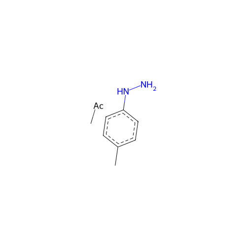 CC(C)=O.Cc1ccc(NN)cc1